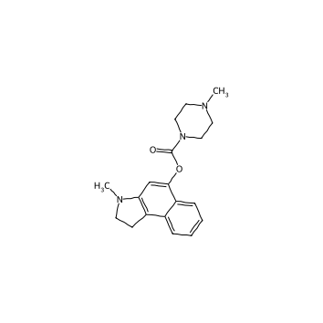 CN1CCN(C(=O)Oc2cc3c(c4ccccc24)CCN3C)CC1